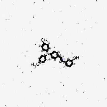 Cc1ccc(N(c2ccc(C)cc2)c2ccc(/C=C/c3cccc(O)c3)cc2)cc1